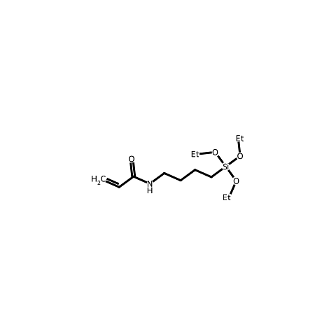 C=CC(=O)NCCCC[Si](OCC)(OCC)OCC